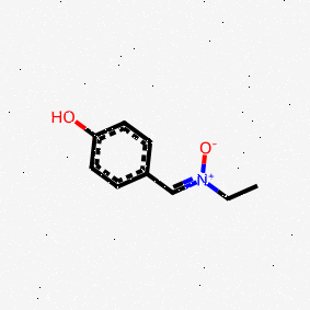 CC/[N+]([O-])=C/c1ccc(O)cc1